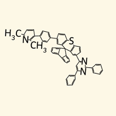 Cc1ccc(-c2ccc(-c3ccc4c(c3)C3(c5cc(-c6cc(-c7ccccc7)nc(-c7ccccc7)n6)ccc5S4)c4ccccc4-c4ccccc43)cc2)c(C)n1